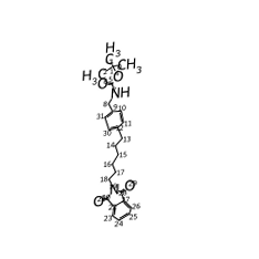 CC(C)(C)OC(=O)NCc1ccc(CCCCCCN2C(=O)c3ccccc3C2=O)cc1